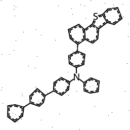 c1ccc(-c2ccc(-c3ccc(N(c4ccccc4)c4ccc(-c5cccc6c5ccc5c7ccccc7sc65)cc4)cc3)cc2)cc1